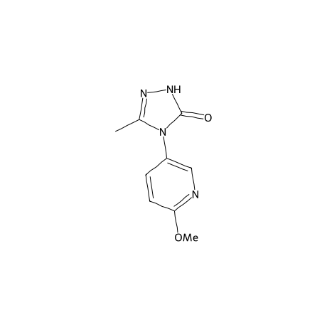 COc1ccc(-n2c(C)n[nH]c2=O)cn1